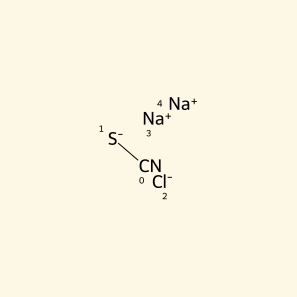 N#C[S-].[Cl-].[Na+].[Na+]